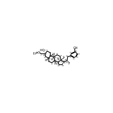 CCOC[C@@]1(O)CC[C@H]2[C@H](CC[C@@H]3[C@@H]2CC[C@]2(C)[C@@H]([C@H](C)Cc4cccc(C#N)c4)CC[C@@H]32)C1